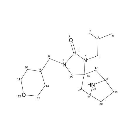 CC(C)CN1C(=O)N(CC2CCOCC2)CC12CC1CCC(C2)N1